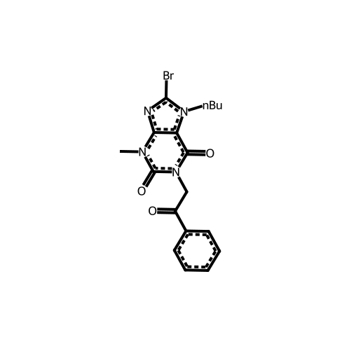 CCCCn1c(Br)nc2c1c(=O)n(CC(=O)c1ccccc1)c(=O)n2C